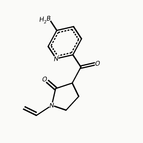 Bc1ccc(C(=O)C2CCN(C=C)C2=O)nc1